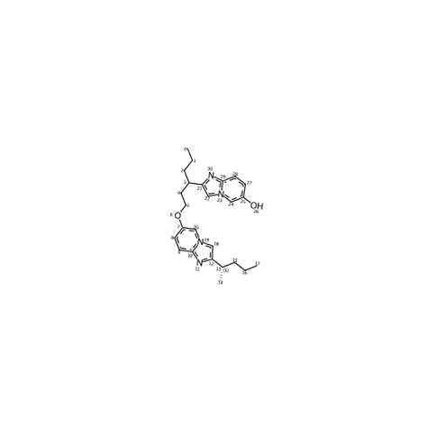 CCCC(CCOc1ccc2nc([C@@H](C)CCC)cn2c1)c1cn2cc(O)ccc2n1